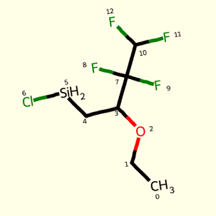 CCOC(C[SiH2]Cl)C(F)(F)C(F)F